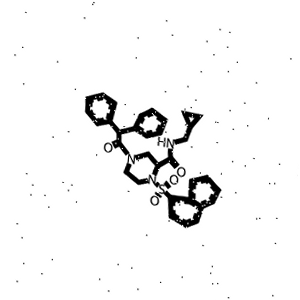 O=C(NCC1CC1)C1CN(C(=O)C(c2ccccc2)c2ccccc2)CCN1S(=O)(=O)c1cccc2ccccc12